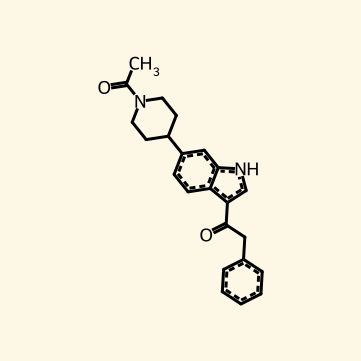 CC(=O)N1CCC(c2ccc3c(C(=O)Cc4ccccc4)c[nH]c3c2)CC1